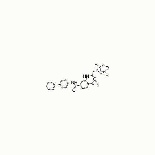 O=C(CN1C[C@H]2C[C@@H]1CO2)Nc1cc(C(=O)Nc2ccc(-c3ccccc3)cc2)ccc1C(F)(F)F